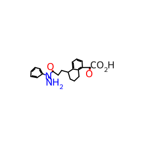 NN(C(=O)CCC1CCCc2c(C(=O)C(=O)O)cccc21)c1ccccc1